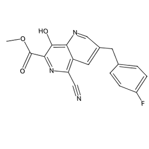 COC(=O)c1nc(C#N)c2cc(Cc3ccc(F)cc3)cnc2c1O